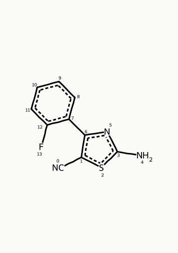 N#Cc1sc(N)nc1-c1ccccc1F